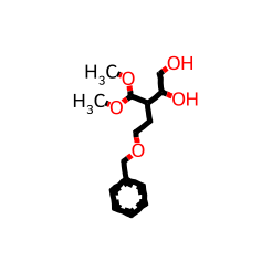 COC(OC)C(CCOCc1ccccc1)C(O)CO